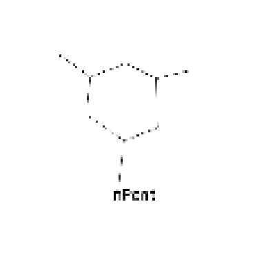 CC[CH]CCC1CC(C)CC(C)C1